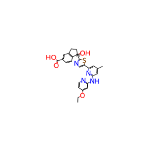 CCOc1ccnc(Nc2cc(C)cc(-c3cnc([C@@]4(O)CCc5cc(C(=O)O)ccc54)s3)n2)c1